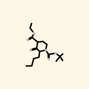 CCCCC1C(=O)C(C(=O)OCC)CCN1C(=O)OC(C)(C)C